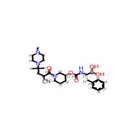 CN1CCN(C(C)(C)CC(C#N)C(=O)N2CCC[C@H](OC(=O)N[C@@H](Cc3ccccc3)B(O)O)C2)CC1